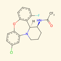 O=C(N[C@H]1CCCN2c3cc(Cl)ccc3Oc3cccc(F)c3[C@@H]12)C(F)(F)F